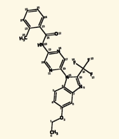 CCOc1ccc2c(c1)nc(C(F)(F)F)n2-c1cnc(NC(=O)c2ccccc2C)cn1